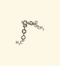 CCOC(=O)N1CCN(c2ccnn3cc(-c4ccc(C5CCN(CC)CC5)cc4)cc23)CC1